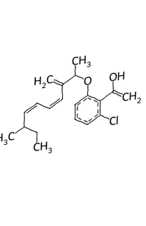 C=C(O)c1c(Cl)cccc1OC(C)C(=C)/C=C\C=C/C(C)CC